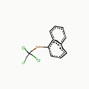 ClC(Cl)(Cl)Sc1cccc2ccccc12